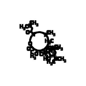 CO[C@]1(C)C[C@@H](C)CN(C)CCCN(C(=O)CN(C)C)CCOC(=O)C(C)C(=O)[C@H](C)[C@H]1O[C@@H]1O[C@H](C)C[C@H](N(C)C)[C@H]1O